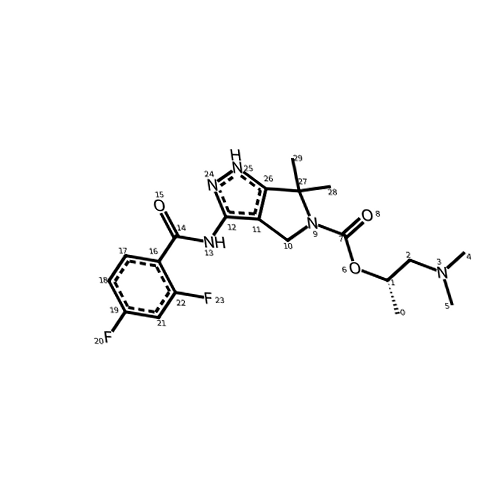 C[C@@H](CN(C)C)OC(=O)N1Cc2c(NC(=O)c3ccc(F)cc3F)n[nH]c2C1(C)C